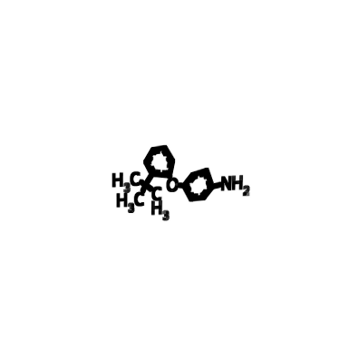 CC(C)(C)c1ccccc1Oc1ccc(N)cc1